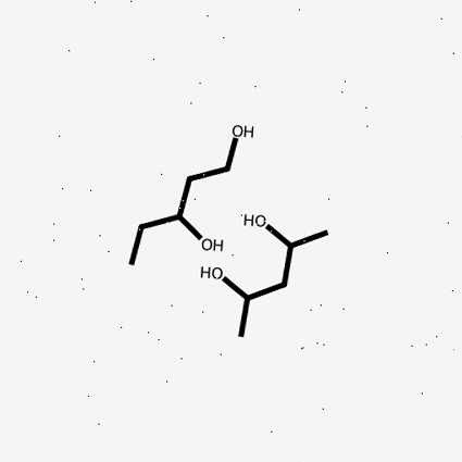 CC(O)CC(C)O.CCC(O)CCO